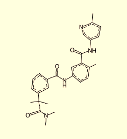 Cc1ccc(NC(=O)c2cc(NC(=O)c3cccc(C(C)(C)C(=O)N(C)C)c3)ccc2C)cn1